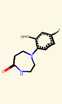 O=Cc1cc(F)ccc1N1CCNC(=O)CC1